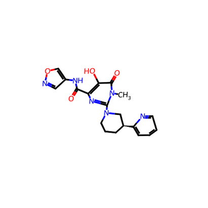 Cn1c(N2CCC[C@H](c3ccccn3)C2)nc(C(=O)Nc2cnoc2)c(O)c1=O